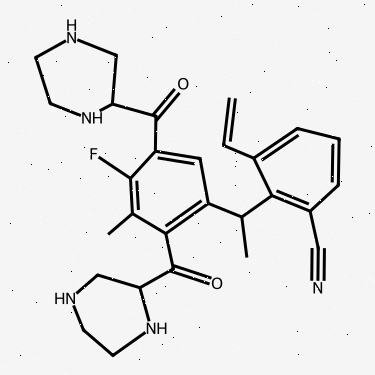 C=Cc1cccc(C#N)c1C(C)c1cc(C(=O)C2CNCCN2)c(F)c(C)c1C(=O)C1CNCCN1